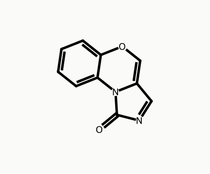 O=c1ncc2coc3ccccc3n1-2